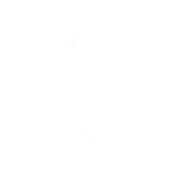 CCC(C)(C)Oc1ccc(C(C)(C)c2ccc(OC(C)=O)c(C)c2)cc1C